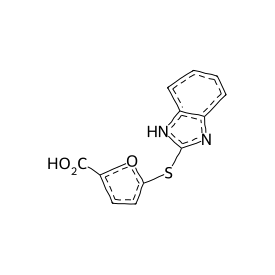 O=C(O)c1ccc(Sc2nc3ccccc3[nH]2)o1